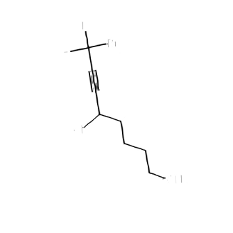 CCCCCC(Cl)C#CC(F)(F)Br